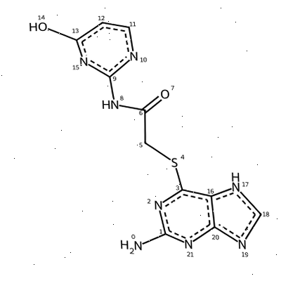 Nc1nc(SCC(=O)Nc2nccc(O)n2)c2[nH]cnc2n1